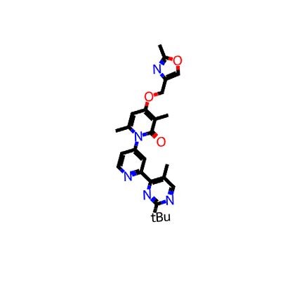 Cc1nc(COc2cc(C)n(-c3ccnc(-c4nc(C(C)(C)C)ncc4C)c3)c(=O)c2C)co1